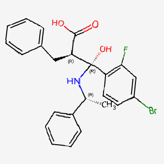 C[C@@H](N[C@](O)(c1ccc(Br)cc1F)[C@@H](Cc1ccccc1)C(=O)O)c1ccccc1